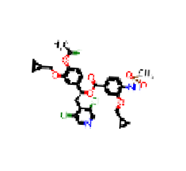 CC(F)Oc1ccc([C@H](Cc2c(Cl)cncc2Cl)OC(=O)c2ccc(NS(C)(=O)=O)c(OCC3CC3)c2)cc1OCC1CC1